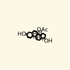 CC(=O)OC1=CC2C[C@@H](O)C=C[C@]2(C)[C@H]2CC[C@]3(C)[C@@H](O)CC[C@H]3[C@H]12